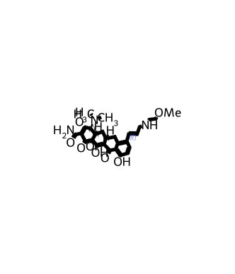 COCCNC/C=C/c1ccc(O)c2c1C[C@H]1C[C@H]3[C@H](N(C)C)C(O)=C(C(N)=O)C(=O)[C@@]3(O)C(O)=C1C2=O